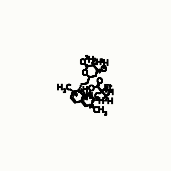 [2H]O[C@@H]1CC(CC[C@@H]2[C@@H]3C(=C[C@H](C)C[C@@H]3OC(=O)C(C)(CC)C([2H])([2H])[2H])C=C[C@@H]2C)OC(=O)C1([2H])[2H]